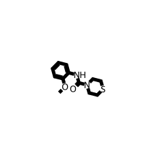 COc1ccccc1NC(=O)N1CCSCC1